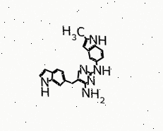 Cc1cc2cc(Nc3ncc(Cc4ccc5cc[nH]c5c4)c(N)n3)ccc2[nH]1